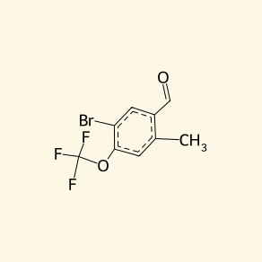 Cc1cc(OC(F)(F)F)c(Br)cc1C=O